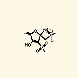 CCOC(=O)C1(CS(C)(=O)=O)OC(=O)C(O)=C1S(C)(=O)=O